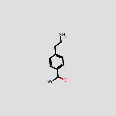 CCCC(O)c1ccc(CC[SiH3])cc1